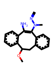 C=NN(C)/C1=C(\N)c2ccccc2C(OC)Cc2ccccc21